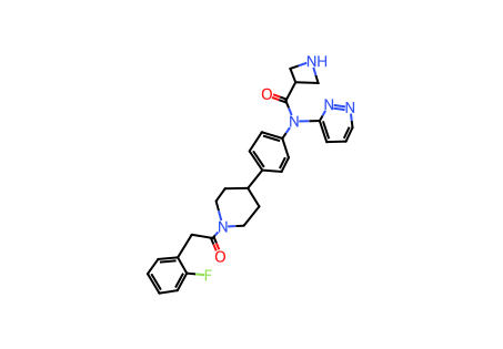 O=C(Cc1ccccc1F)N1CCC(c2ccc(N(C(=O)C3CNC3)c3cccnn3)cc2)CC1